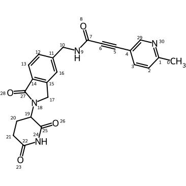 Cc1ccc(C#CC(=O)NCc2ccc3c(c2)CN(C2CCC(=O)NC2=O)C3=O)cn1